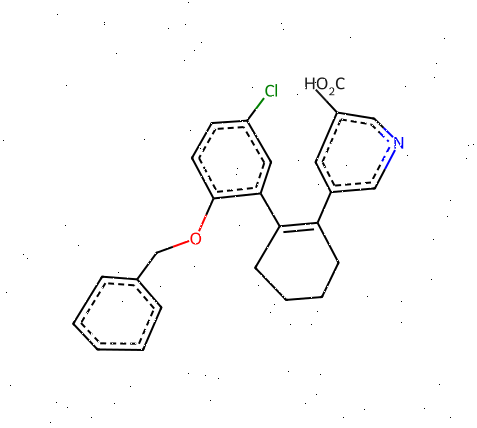 O=C(O)c1cncc(C2=C(c3cc(Cl)ccc3OCc3ccccc3)CCCC2)c1